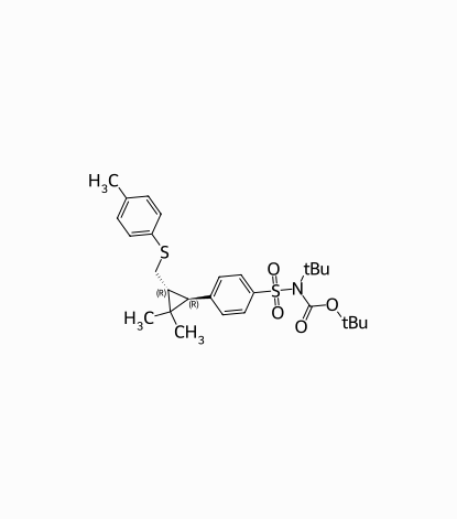 Cc1ccc(SC[C@@H]2[C@@H](c3ccc(S(=O)(=O)N(C(=O)OC(C)(C)C)C(C)(C)C)cc3)C2(C)C)cc1